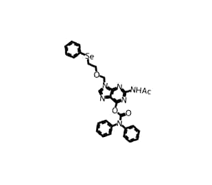 CC(=O)Nc1nc(OC(=O)N(c2ccccc2)c2ccccc2)c2ncn(COCC[Se]c3ccccc3)c2n1